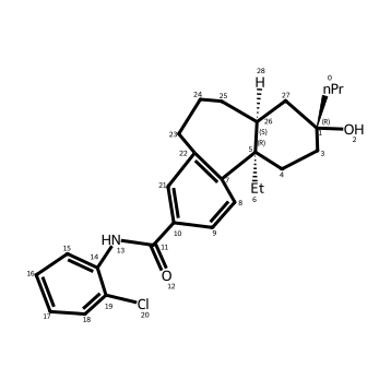 CCC[C@@]1(O)CC[C@@]2(CC)c3ccc(C(=O)Nc4ccccc4Cl)cc3CCC[C@H]2C1